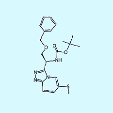 CSc1ccc2nnc([C@@H](COCc3ccccc3)NC(=O)OC(C)(C)C)n2c1